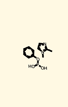 Cc1nccn1C.OP(O)Oc1ccccc1